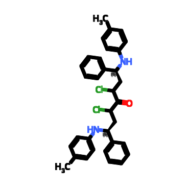 Cc1ccc(N[C@@H](CC(Cl)C(=O)C(Cl)C[C@H](Nc2ccc(C)cc2)c2ccccc2)c2ccccc2)cc1